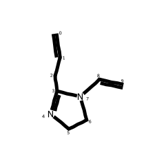 C=CCC1=NCCN1C=C